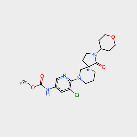 CCCOC(=O)Nc1cnc(N2CCC[C@@]3(CCN(C4CCOCC4)C3=O)C2)c(Cl)c1